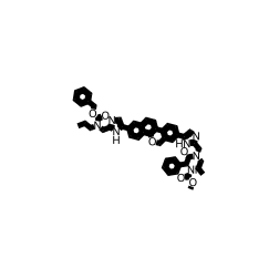 CCCN(Cc1ncc(-c2ccc3c4c(ccc3c2)-c2ccc(-c3cnc(CN(CCC)C(=O)[C@H](NC(=O)OC)c5ccccc5)[nH]3)cc2CO4)[nH]1)C(=O)OCc1ccccc1